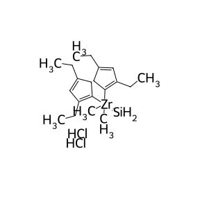 CCC1=CC(CC)=[C]([Zr]([CH3])([CH3])(=[SiH2])[C]2=C(CC)C=C(CC)C2)C1.Cl.Cl